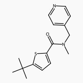 CN(Cc1ccncc1)C(=O)c1ccc(C(C)(C)C)s1